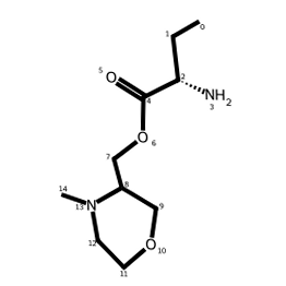 CC[C@H](N)C(=O)OCC1COCCN1C